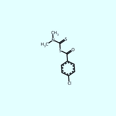 CN(C)C(=S)SC(=O)c1ccc(Cl)cc1